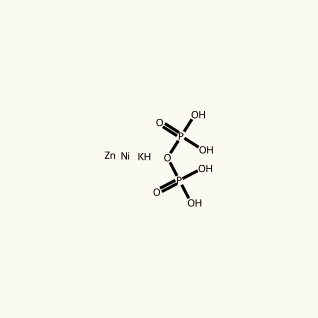 O=P(O)(O)OP(=O)(O)O.[KH].[Ni].[Zn]